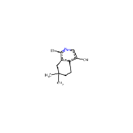 CCc1ncc(C#N)c2c1CC(C)(C)CC2